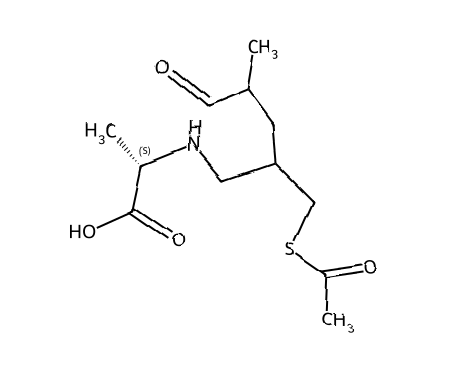 CC(=O)SCC(CN[C@@H](C)C(=O)O)CC(C)C=O